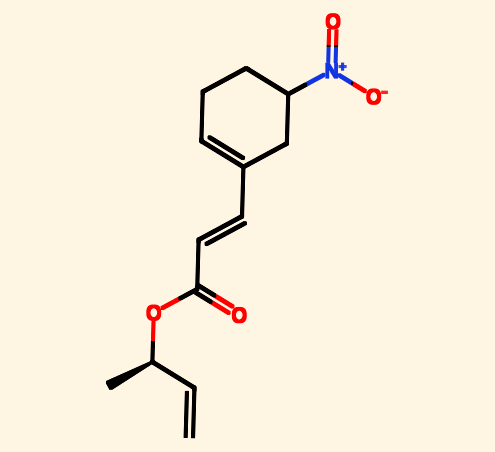 C=C[C@@H](C)OC(=O)/C=C/C1=CCCC([N+](=O)[O-])C1